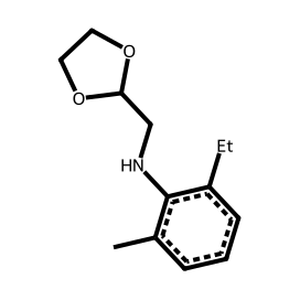 CCc1cccc(C)c1NCC1OCCO1